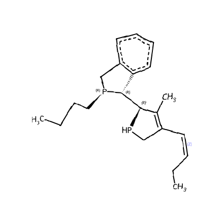 CC/C=C\C1=C(C)[C@H]([C@H]2c3ccccc3C[P@]2CCCC)PC1